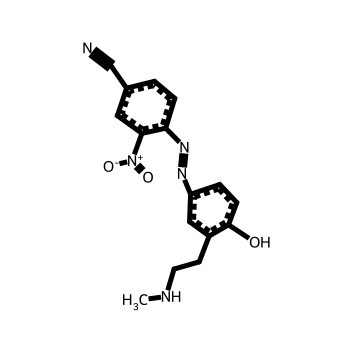 CNCCc1cc(N=Nc2ccc(C#N)cc2[N+](=O)[O-])ccc1O